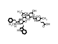 CN[C@@H](Cc1ccccc1)C(=O)N[C@@H](Cc1c[nH]c2ccccc12)C(=O)N[C@@H](CC(C)C)C(=O)N[C@@H](CC(=O)O)C(=O)NCC(=O)N[C@@H](CCC(=O)O)C(C)=O